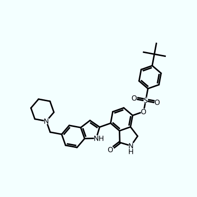 CC(C)(C)c1ccc(S(=O)(=O)Oc2ccc(-c3cc4cc(CN5CCCCC5)ccc4[nH]3)c3c2CNC3=O)cc1